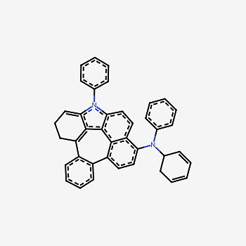 C1=CCC(N(c2ccccc2)c2ccc3c4c2ccc2c4c4c(n2-c2ccccc2)=CCCC=4c2ccccc2-3)C=C1